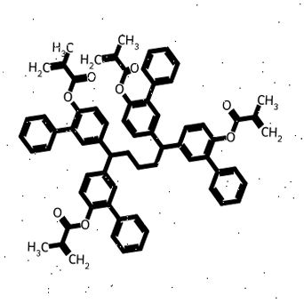 C=C(C)C(=O)Oc1ccc(C(CCCC(c2ccc(OC(=O)C(=C)C)c(-c3ccccc3)c2)c2ccc(OC(=O)C(=C)C)c(-c3ccccc3)c2)c2ccc(OC(=O)C(=C)C)c(-c3ccccc3)c2)cc1-c1ccccc1